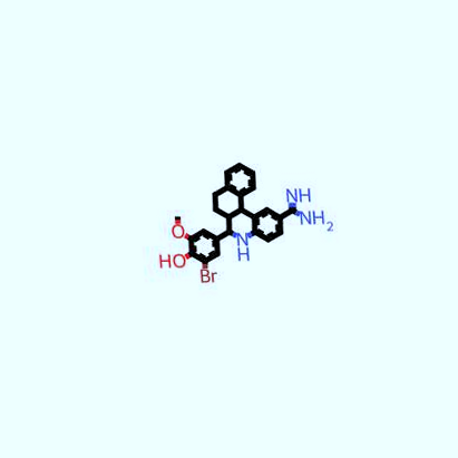 COc1cc(C2Nc3ccc(C(=N)N)cc3C3c4ccccc4CCC23)cc(Br)c1O